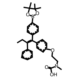 CCC(=C(c1ccc(OCCN(C)C(=O)O)cc1)c1ccc(B2OC(C)(C)C(C)(C)O2)cc1)c1ccccc1